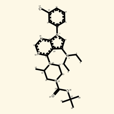 CCN(CC)c1cn(-c2cccc(Cl)c2)c2ncnc(N3CCN(C(=O)OC(C)(C)C)CC3C)c12